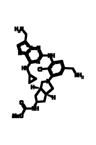 COC(=O)N[C@@H]1C[C@@H]2CN(c3cc(CN)cc(Nc4nc(NC5CC5)c5ncc(CN)n5n4)c3Cl)C[C@@H]2C1